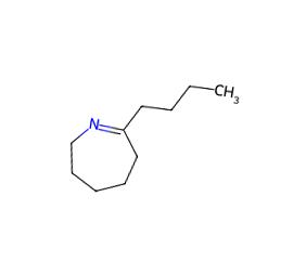 CCCCC1=NCCCCC1